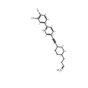 C=CCCC1CCC(C#Cc2ccc(-c3ccc(F)c(F)c3)nc2)CC1